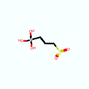 O=[SH](=O)CCC[Si](O)(O)O